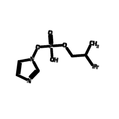 CC(C)C(C)COP(=O)(O)On1ccnc1